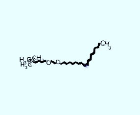 CCCCCCCC/C=C\CCCCCCCCOCCOCC[CH]C[N+](C)(C)C